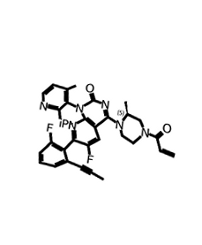 C=CC(=O)N1CCN(c2nc(=O)n(-c3c(C)ccnc3C(C)C)c3nc(-c4c(F)cccc4C#CC)c(F)cc23)[C@@H](C)C1